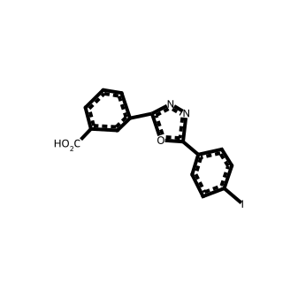 O=C(O)c1cccc(-c2nnc(-c3ccc(I)cc3)o2)c1